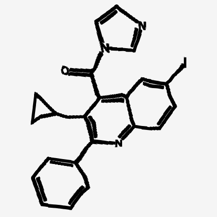 O=C(c1c(C2CC2)c(-c2ccccc2)nc2ccc(I)cc12)n1ccnc1